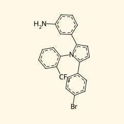 Nc1cccc(-c2ccc(-c3ccc(Br)cc3)n2-c2ccccc2C(F)(F)F)c1